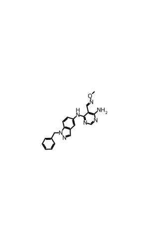 CO/N=C/c1c(N)ncnc1Nc1ccc2c(cnn2Cc2ccccc2)c1